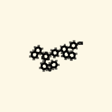 N#Cc1ccc(-c2ccc(-c3ccc(-c4nc(-c5cccc6ccccc56)nc(-c5cccc6oc7ccccc7c56)n4)cc3)c3ccc4ccccc4c23)cc1